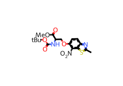 COC(=O)C(COc1ccc2nc(C)sc2c1[N+](=O)[O-])NC(=O)OC(C)(C)C